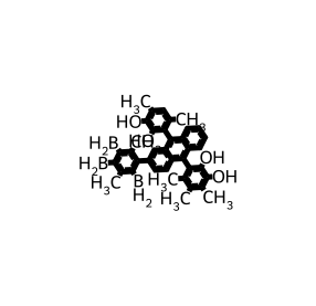 Bc1c(B)c(C)c(-c2ccc3c(-c4c(C)c(C)c(C)c(O)c4O)c4ccccc4c(-c4c(C)cc(C)c(O)c4O)c3c2)c(B)c1C